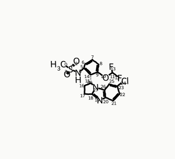 CS(=O)(=O)Nc1cccc(OC(F)F)c1[C@H]1CCc2nc3ccc(Cl)cc3n21